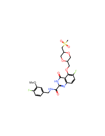 COc1cc(CNC(=O)c2nc3ccc(F)c(OCC4COC(CS(C)(=O)=O)CO4)c3c(=O)[nH]2)ccc1F